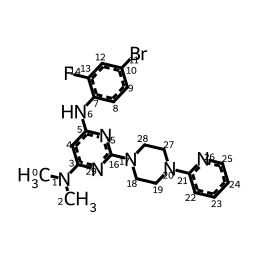 CN(C)c1cc(Nc2ccc(Br)cc2F)nc(N2CCN(c3ccccn3)CC2)n1